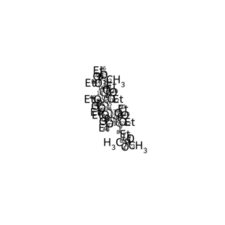 CCOP(C)(=O)C(C)CCCCC(C(CCCC(C(CCCC(C)P(=O)(OCC)OCC)P(=O)(OCC)OCC)P(=O)(OCC)OCC)P(=O)(OCC)OCC)P(=O)(OCC)OCC